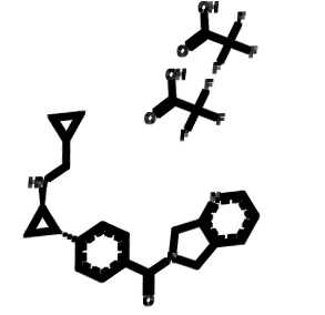 O=C(O)C(F)(F)F.O=C(O)C(F)(F)F.O=C(c1ccc([C@@H]2C[C@H]2NCC2CC2)cc1)N1Cc2cccnc2C1